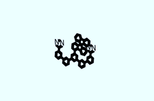 c1cc(-c2cncnc2)cc(-c2cccc(-c3cc(-c4cccc(-c5cccc(-c6cncnc6)c5)c4)cc(-c4cccc5c4-c4ccccc4C54c5ccccc5-c5ccccc54)c3)c2)c1